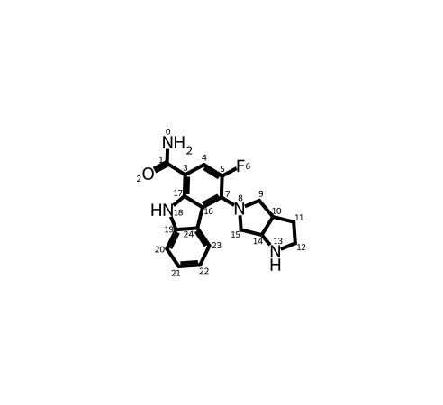 NC(=O)c1cc(F)c(N2CC3CCNC3C2)c2c1[nH]c1ccccc12